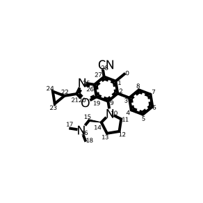 Cc1c(-c2ccccc2)c(N2CCC[C@H]2CN(C)C)c2oc(C3CC3)nc2c1C#N